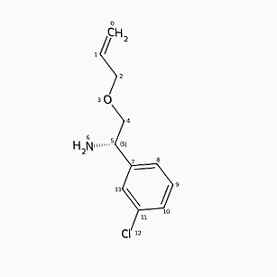 C=CCOC[C@@H](N)c1cccc(Cl)c1